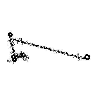 CC[C@@]1(O)C(=O)OCc2c1cc1n(c2=O)Cc2c-1nc1cc(F)c(C)c3c1c2[C@@H](NC(=O)CCCNC(=O)CNC(=O)[C@@H](Cc1ccccc1)NC(=O)CNC(=O)CNC(=O)CCOCCOCCOCCOCCOCCOCCOCCOCCOCCOCCOCCOCCNC(=O)OCC1C2CCC#CCCC21)CC3